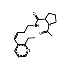 CCc1ncccc1/C=C\CCNC(=O)C1CCCN1C(C)=O